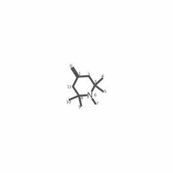 C=C1CC(C)(C)N(C)C(C)(C)C1